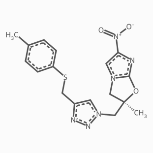 Cc1ccc(SCc2cn(C[C@@]3(C)Cn4cc([N+](=O)[O-])nc4O3)nn2)cc1